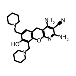 N#Cc1c(N)nc2c(c1N)Cc1cc(CN3CCCCC3)c(O)c(CN3CCCCC3)c1O2